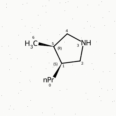 CCC[C@@H]1CNC[C@@H]1C